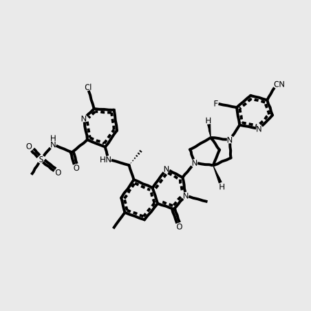 Cc1cc([C@@H](C)Nc2ccc(Cl)nc2C(=O)NS(C)(=O)=O)c2nc(N3C[C@H]4C[C@@H]3CN4c3ncc(C#N)cc3F)n(C)c(=O)c2c1